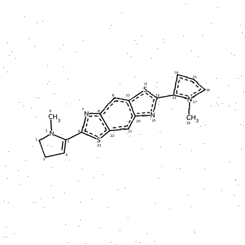 CN1CCC=C1c1nc2cc3sc(-c4cccn4C)nc3cc2s1